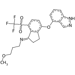 COCCCN=C1CCc2c(Oc3cccc4[nH]ncc34)ccc(S(=O)(=O)C(F)(F)F)c21